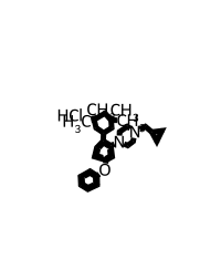 CC1(C)CC(c2ccc(Oc3ccccc3)cc2N2CCN(CC3CC3)CC2)CC(C)(C)C1.Cl